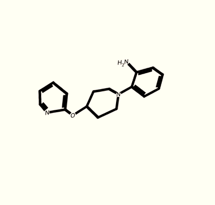 Nc1ccccc1N1CCC(Oc2ccccn2)CC1